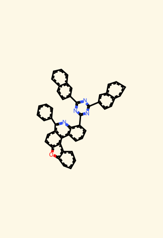 c1ccc(-c2nc3c(-c4nc(-c5ccc6ccccc6c5)nc(-c5ccc6ccccc6c5)n4)cccc3c3c2ccc2oc4ccccc4c23)cc1